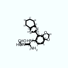 N=C(N)Nc1ccc2c(c1-c1nc3c(s1)CCCC3)OCO2.O=CO